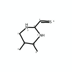 CC1CNC(C=S)NC1C